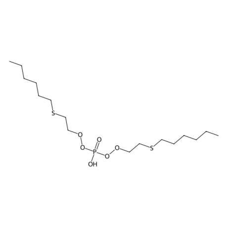 CCCCCCSCCOOP(=O)(O)OOCCSCCCCCC